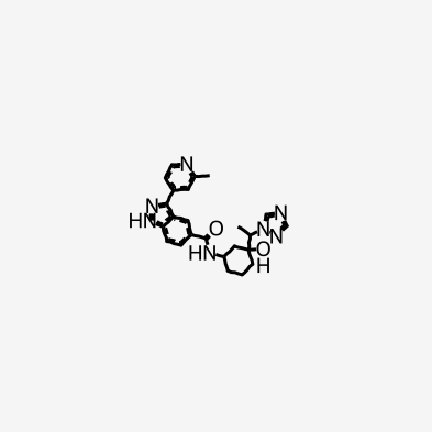 Cc1cc(-c2n[nH]c3ccc(C(=O)NC4CCCC(O)(C(C)n5cncn5)C4)cc23)ccn1